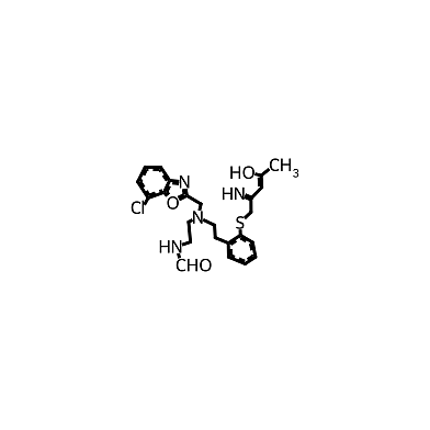 C/C(O)=C/C(=N)CSc1ccccc1CCN(CCNC=O)Cc1nc2cccc(Cl)c2o1